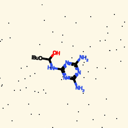 CC(C)COC(O)Nc1nc(N)nc(N)n1